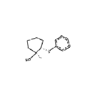 C[C@]1(O)CCCC[C@@H]1Sc1ccccc1